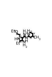 CCOCCN1NC(CC)C(N)C1C(N)NC1CC(C)CCN1